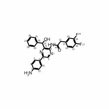 Nc1ccc(-c2cnc(NC(=O)Cc3ccc(F)c(F)c3)c(C(O)c3ccccc3)n2)cc1